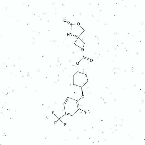 O=C1NC2(CO1)CN(C(=O)O[C@H]1CC[C@H](Oc3ccc(C(F)(F)F)cc3F)CC1)C2